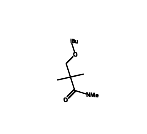 CCC(C)OCC(C)(C)C(=O)NC